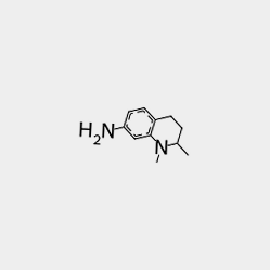 CC1CCc2ccc(N)cc2N1C